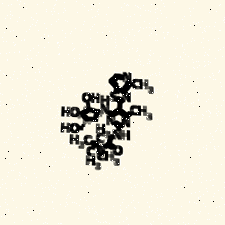 Cc1nc(NCC(=O)N(C)C(C)(C)C)nc(N[C@@H]2C[C@H](CO)[C@@H](O)[C@H]2O)c1-c1nc2c(C)nccc2s1